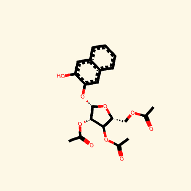 CC(=O)OC[C@H]1O[C@@H](Oc2cc3ccccc3cc2O)[C@@H](OC(C)=O)C1OC(C)=O